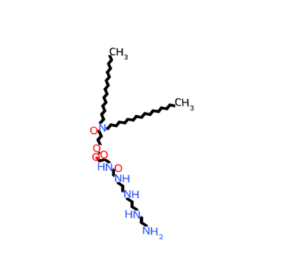 CCCCCCCCCCCCCCCCCCN(CCCCCCCCCCCCCCCCCC)C(=O)CCCOC1OCC(CNC(=O)CNCCCNCCCCNCCCN)O1